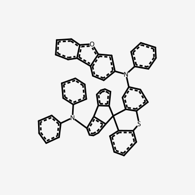 c1ccc(N(c2ccc3c(c2)C2(c4ccccc4S3)c3ccccc3-c3c(N(c4ccccc4)c4ccccc4)cccc32)c2ccc3c(c2)oc2ccccc23)cc1